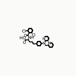 O=C(NC(C/C=C/c1ccc(N(Cc2ccccn2)c2ccccn2)cc1)C(=O)O)c1c(Cl)cccc1Cl